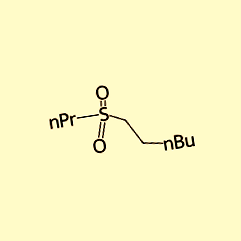 [CH2]CCCCCS(=O)(=O)CCC